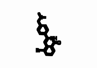 CN(C)Cc1ccc(-c2cc3c(Br)cccc3c(=O)[nH]2)cc1